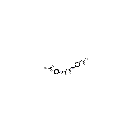 CC(C)(C)C(=O)Oc1ccc(/C=C/C(=O)CC(=O)/C=C/c2ccc(OC(=O)C(C)(C)C)cc2)cc1